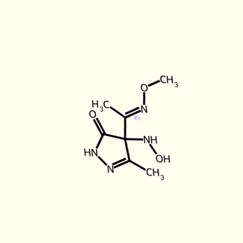 CO/N=C(\C)C1(NO)C(=O)NN=C1C